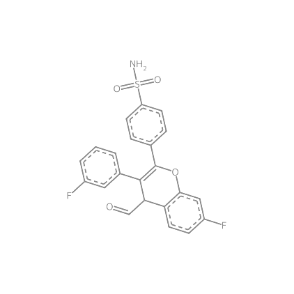 NS(=O)(=O)c1ccc(C2=C(c3cccc(F)c3)C(C=O)c3ccc(F)cc3O2)cc1